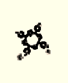 C[n+]1ccc(C2c3ccc([n-]3)C(c3cc[n+](C)cc3)C3C=CC(N3)C(c3cc[n+](C)cc3)c3ccc([n-]3)C(c3cc[n+](C)cc3)C3C=CC2N3)cc1.[Cl-].[Cl-].[Cl-].[Cl-].[Zn+2]